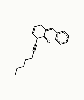 CCCCCC#CC1C=CCC(=Cc2ccccc2)C1=O